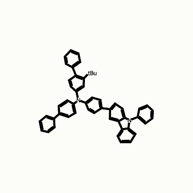 CC(C)(C)c1cc(N(c2ccc(-c3ccccc3)cc2)c2ccc(-c3ccc4c(c3)c3ccccc3n4-c3ccccc3)cc2)ccc1-c1ccccc1